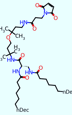 CCCCCCCCCCCCCCCC(=O)NC[C@H](NC(=O)CCCCCCCCCCCCCCC)C(=O)NC(C)(C)CCOC(C)(C)CCNC(=O)CCN1C(=O)C=CC1=O